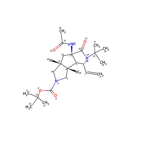 C=CCC1[C@@H]2CN(C(=O)OC(C)(C)C)C[C@@H]2C[C@]1(NC(C)=O)C(=O)NC(C)(C)C